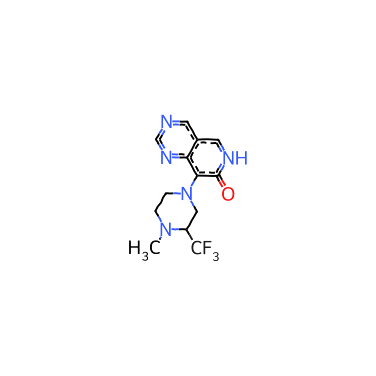 CN1CCN(c2c(=O)[nH]cc3cncnc23)CC1C(F)(F)F